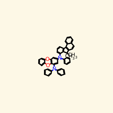 CC1(C)c2ccc3ccccc3c2-c2cccc(N(c3ccccc3)c3cc4c(c(N(c5ccccc5)c5ccccc5)c3)Oc3ccccc3O4)c21